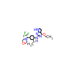 CCOc1nc(Nc2ccc([C@H](N3CCOCC3)C(F)(F)F)cc2CC)nc2[nH]ccc12